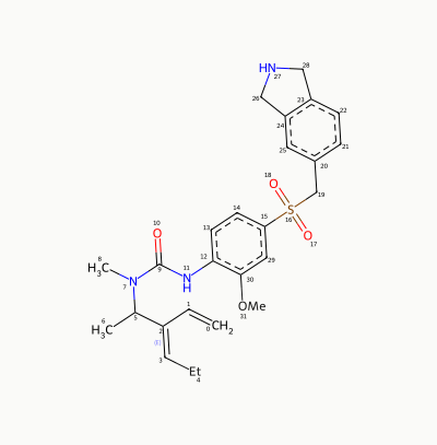 C=C/C(=C\CC)C(C)N(C)C(=O)Nc1ccc(S(=O)(=O)Cc2ccc3c(c2)CNC3)cc1OC